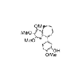 COc1ccc(C2=CCCCCc3c2cc(OC)c(OC)c3OC)cc1O